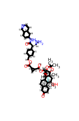 CC1(C)O[C@@H]2C[C@H]3[C@@H]4CCC5=CC(=O)C=C[C@]5(C)[C@@]4(F)[C@@H](O)C[C@]3(C)[C@]2(C(=O)COC(=O)C2CC2C(=O)OCc2ccc([C@@H](CN)C(=O)Nc3ccc4cnccc4c3)cc2)O1